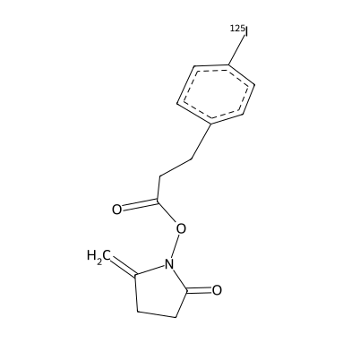 C=C1CCC(=O)N1OC(=O)CCc1ccc([125I])cc1